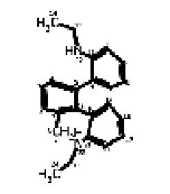 [CH2]c1cccc(-c2ccccc2NCC)c1-c1ccccc1NCC